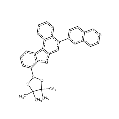 CC1(C)OB(c2cccc3c2oc2cc(-c4ccc5cnccc5c4)c4ccccc4c23)OC1(C)C